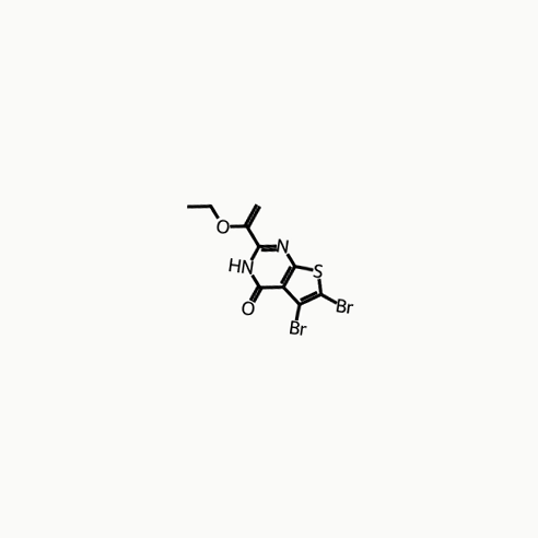 C=C(OCC)c1nc2sc(Br)c(Br)c2c(=O)[nH]1